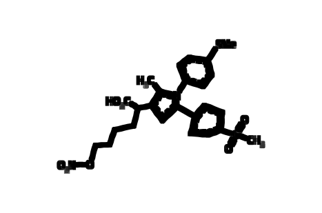 CSc1ccc(-n2c(-c3ccc(S(C)(=O)=O)cc3)cc(C(CCCCO[N+](=O)[O-])C(=O)O)c2C)cc1